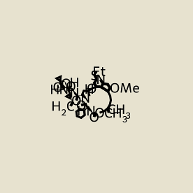 C=C[C@@H]1C[C@]1(NC(=O)[C@@H]1C[C@@H]2CN1C(=O)[C@H](C1CCCCC1)NC(=O)OCC(C)(C)CCCc1cc3c(cc(SCC)nc3cc1OC)O2)C(=O)NS(=O)(=O)C1CC1